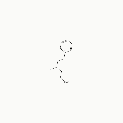 CC(=O)OCCC(C)CCc1ccccc1